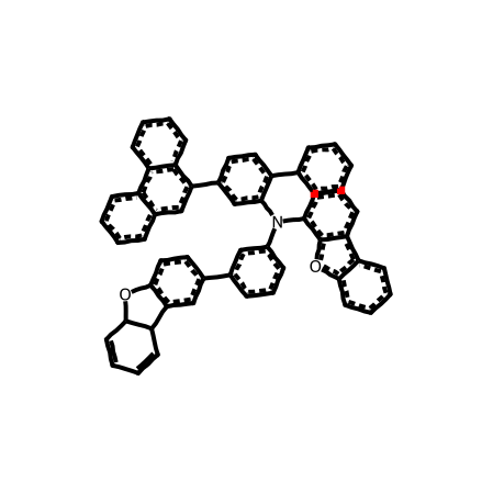 C1=CC2Oc3ccc(-c4cccc(N(c5cc(-c6cc7ccccc7c7ccccc67)ccc5-c5ccccc5)c5cccc6c5oc5ccccc56)c4)cc3C2C=C1